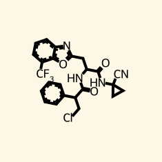 N#CC1(NC(=O)C(Cc2nc3cccc(C(F)(F)F)c3o2)NC(=O)C(CCl)c2ccccc2)CC1